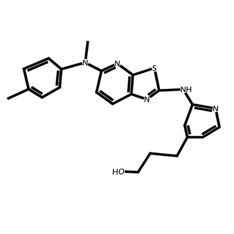 Cc1ccc(N(C)c2ccc3nc(Nc4cc(CCCO)ccn4)sc3n2)cc1